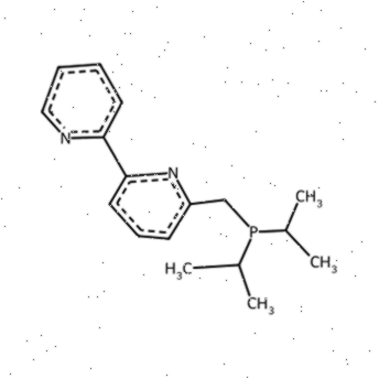 CC(C)P(Cc1cccc(-c2ccccn2)n1)C(C)C